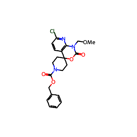 COCN1C(=O)OC2(CCN(C(=O)OCc3ccccc3)CC2)c2ccc(Cl)nc21